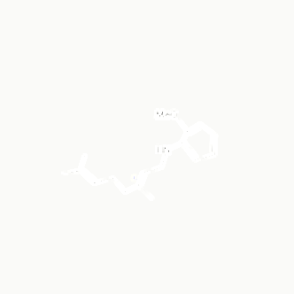 COc1ccccc1NC/C=C(\C)CCC=C(C)C